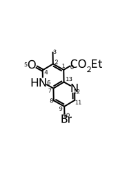 CCOC(=O)c1c(C)c(=O)[nH]c2cc(Br)cnc12